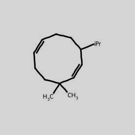 CC(C)C1C=CC(C)(C)CCC=CCC1